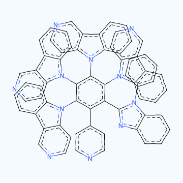 c1ccc(-n2c(-c3c(-c4ccncc4)c(-n4c5ccccc5c5cnccc54)c(-n4c5ccccc5c5cnccc54)c(-n4c5ccccc5c5cnccc54)c3-n3c4ccccc4c4cnccc43)nc3ccccc32)cc1